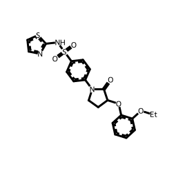 CCOc1ccccc1OC1CCN(c2ccc(S(=O)(=O)Nc3nccs3)cc2)C1=O